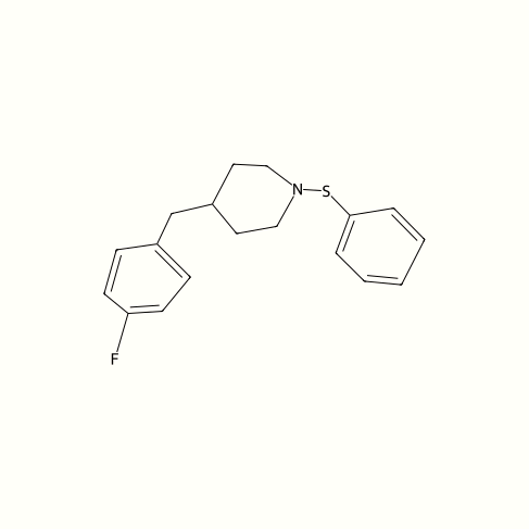 Fc1ccc(CC2CCN(Sc3ccccc3)CC2)cc1